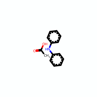 CC(=O)O.c1ccc(Nc2ccccc2)cc1